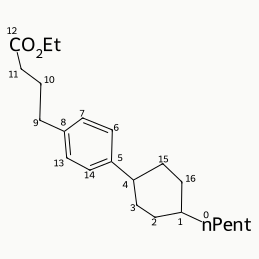 CCCCCC1CCC(c2ccc(CCCC(=O)OCC)cc2)CC1